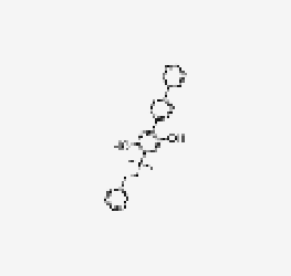 CC(C)(CCc1ccccc1)c1cc(O)c(-c2ccc(-c3ccccc3)cc2)cc1O